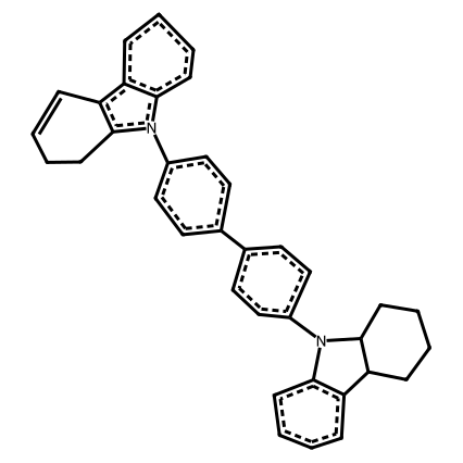 C1=Cc2c(n(-c3ccc(-c4ccc(N5c6ccccc6C6CCCCC65)cc4)cc3)c3ccccc23)CC1